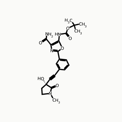 CN1CC[C@@](O)(C#Cc2cccc(-c3nc(C(N)=O)c(NC(=O)OC(C)(C)C)o3)c2)C1=O